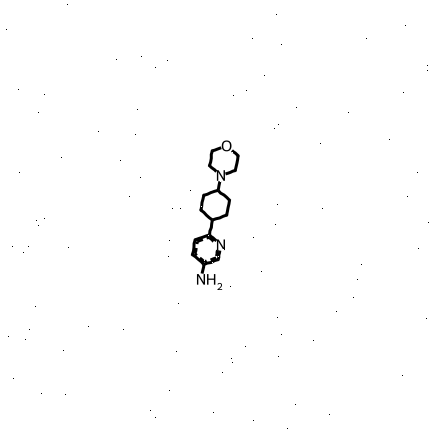 Nc1ccc(C2CCC(N3CCOCC3)CC2)nc1